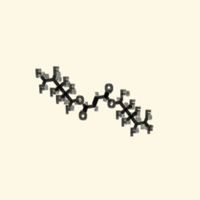 O=C(C=CC(=O)OC(F)C(F)(F)C(F)(F)C(F)C(F)F)OC(F)C(F)(F)C(F)(F)C(F)C(F)F